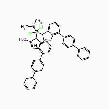 CC1=Cc2c(-c3ccc(-c4ccccc4)cc3)cccc2[CH]1[Zr]([Cl])([Cl])([CH]1C(C)=Cc2c(-c3ccc(-c4ccccc4)cc3)cccc21)[SiH](C)C